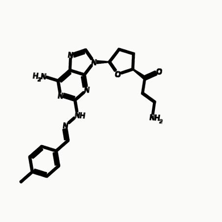 Cc1ccc(/C=N/Nc2nc(N)c3ncn([C@H]4CC[C@@H](C(=O)CCN)O4)c3n2)cc1